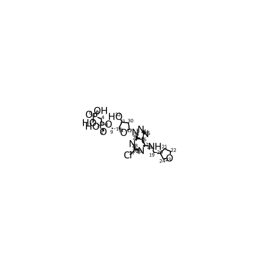 O=P(O)(O)CP(=O)(O)OC[C@H]1O[C@@H](n2nnc3c(NC[C@H]4CCOC4)nc(Cl)nc32)C[C@@H]1O